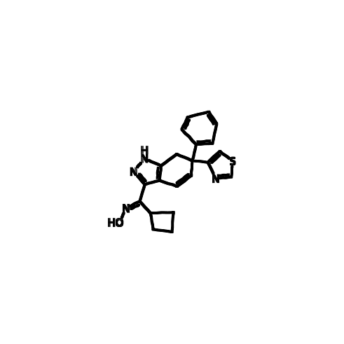 O/N=C(/c1n[nH]c2c1C=CC(c1ccccc1)(c1cscn1)C2)C1CCC1